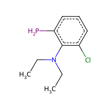 CCN(CC)c1c(P)cccc1Cl